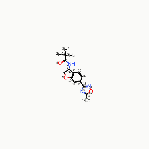 [2H]C([2H])([2H])C(=O)N[C@@H]1COc2cc(-c3noc(CC)n3)ccc21